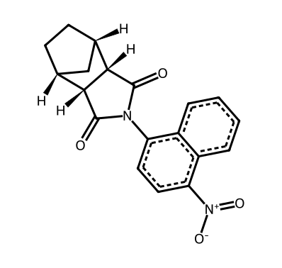 O=C1[C@@H]2[C@@H]3CC[C@@H](C3)[C@@H]2C(=O)N1c1ccc([N+](=O)[O-])c2ccccc12